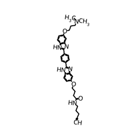 C#CCCCNC(=O)CCCOc1ccc2[nH]c(-c3ccc(-c4nc5cc(OCCCN(C)C)ccc5[nH]4)cc3)nc2c1